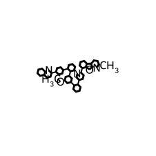 COc1cc(-c2ccccc2-c2ccc(-c3ccc4ccccc4n3)cc2)cc(-c2ccccc2-c2ccc(-c3cccc4c3oc3nc(C)ccc34)nc2)c1